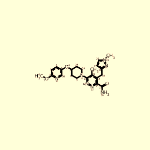 COc1ccc(OC2CCN(c3nnc(C(N)=O)c(Cc4ccn(C)n4)c3C)CC2)cn1